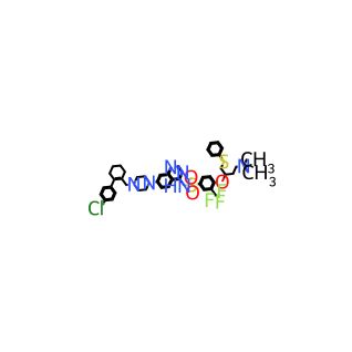 CN(C)CCC(CSc1ccccc1)Oc1ccc(S(=O)(=O)Nc2ncnc3cc(N4CCN(CC5=C(c6ccc(Cl)cc6)CCCC5)CC4)ccc23)cc1C(F)(F)F